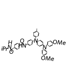 COc1ccc(N(c2ccc(OC)cc2)c2ccc(N(c3ccc(C)cc3)c3ccc(NC(=O)c4ccc(C(=O)NC(C)C)cc4)cc3)cc2)cc1